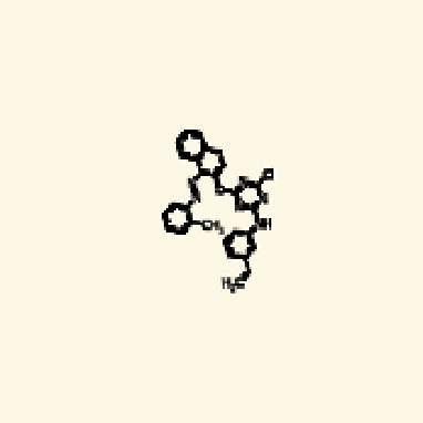 C=Cc1cccc(Nc2nc(Cl)nc(Oc3ccc4ccccc4c3N=Nc3ccccc3C)n2)c1